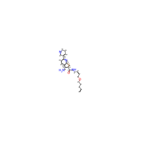 C=CCCCOC/C=C\CNC(=O)c1sc2nc(C3=CCCN=C3)ccc2c1N